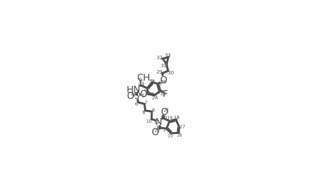 C[C@H](NS(=O)(=O)CCCCCN1C(=O)c2ccccc2C1=O)c1ccc(F)c(OCCC2CC2)c1